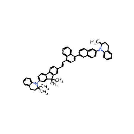 CC1CCc2ccccc2N1c1ccc2cc(-c3ccc(/C=C/c4ccc5c(c4)C(C)(C)c4cc(N6c7ccccc7CCC6(C)C)ccc4-5)c4ccccc34)ccc2c1